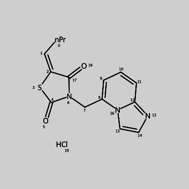 CCC/C=C1/SC(=O)N(Cc2cccc3nccn23)C1=O.Cl